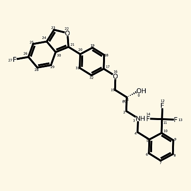 O[C@H](CNCc1ccccc1C(F)(F)F)COc1ccc(-c2occ3cc(F)ccc23)cc1